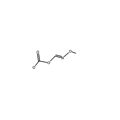 CO/N=C/OC([O])=O